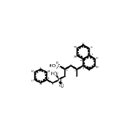 CC(CC(CP(=O)(O)Cc1ccccc1)C(=O)O)c1cccc2ccccc12